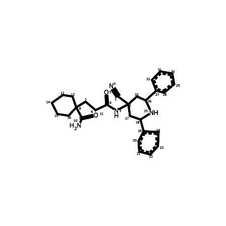 N#CC1(NC(=O)[CH]CC2(C(N)=O)CCCCC2)CC(c2ccccc2)NC(c2ccccc2)C1